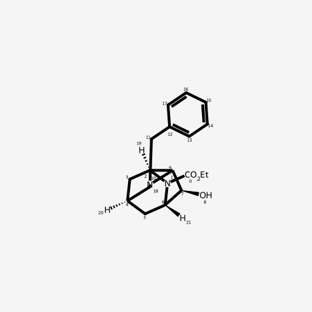 CCOC(=O)N1[C@H]2C[C@@H]3C[C@H]1[C@H](O)C2N(Cc1ccccc1)C3